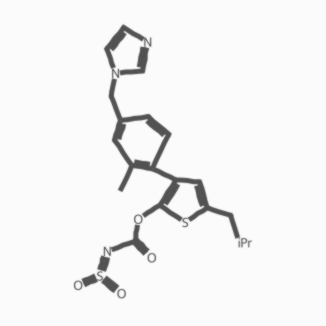 Cc1cc(Cn2ccnc2)ccc1-c1cc(CC(C)C)sc1OC(=O)N=S(=O)=O